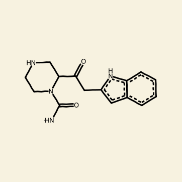 [NH]C(=O)N1CCNCC1C(=O)Cc1cc2ccccc2[nH]1